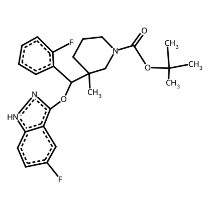 CC(C)(C)OC(=O)N1CCCC(C)(C(Oc2n[nH]c3ccc(F)cc23)c2ccccc2F)C1